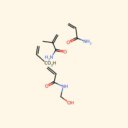 C=C(C)C(N)=O.C=CC(=O)NCO.C=CC(=O)O.C=CC(N)=O